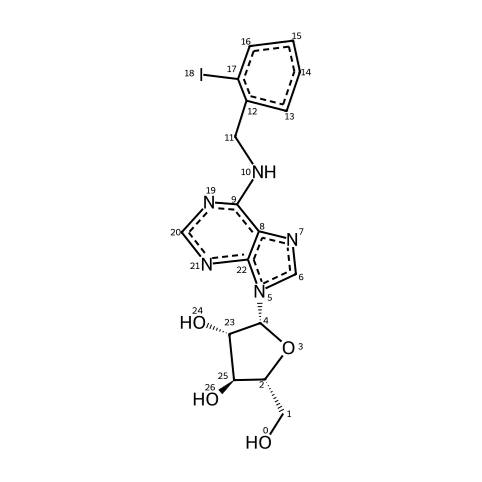 OC[C@H]1O[C@@H](n2cnc3c(NCc4ccccc4I)ncnc32)[C@@H](O)[C@@H]1O